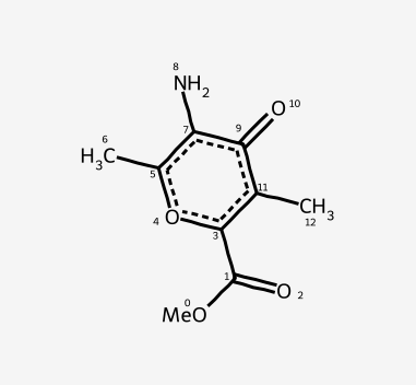 COC(=O)c1oc(C)c(N)c(=O)c1C